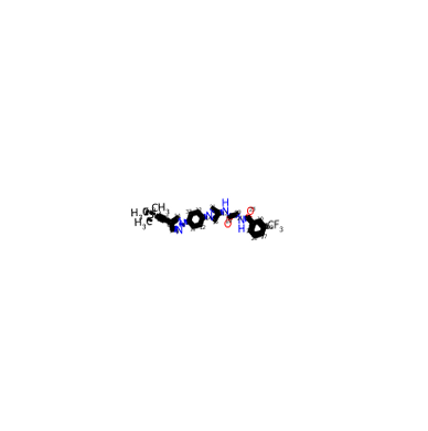 C[Si](C)(C)C#Cc1cnn(C2CCC(N3CC(NC(=O)CNC(=O)c4cccc(C(F)(F)F)c4)C3)CC2)c1